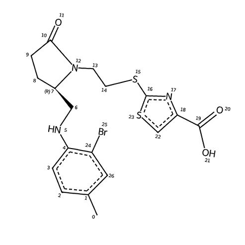 Cc1ccc(NC[C@H]2CCC(=O)N2CCSc2nc(C(=O)O)cs2)c(Br)c1